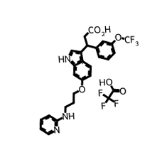 O=C(O)C(F)(F)F.O=C(O)CC(c1cccc(OC(F)(F)F)c1)c1c[nH]c2cc(OCCCNc3ccccn3)ccc12